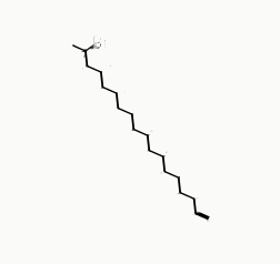 C=CCCCCCCCCCCCCCCC(C)Br